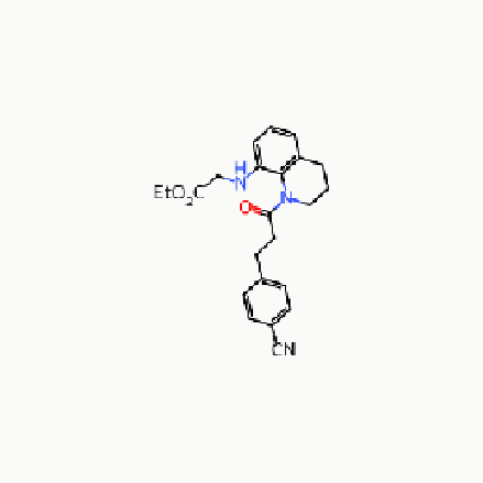 CCOC(=O)CNc1cccc2c1N(C(=O)CCc1ccc(C#N)cc1)CCC2